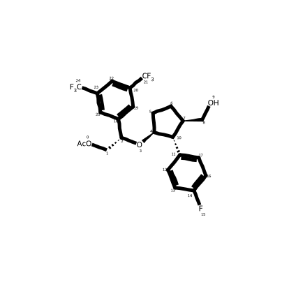 CC(=O)OC[C@@H](O[C@H]1CC[C@@H](CO)[C@@H]1c1ccc(F)cc1)c1cc(C(F)(F)F)cc(C(F)(F)F)c1